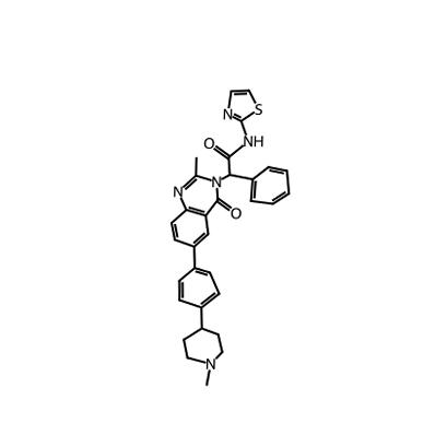 Cc1nc2ccc(-c3ccc(C4CCN(C)CC4)cc3)cc2c(=O)n1C(C(=O)Nc1nccs1)c1ccccc1